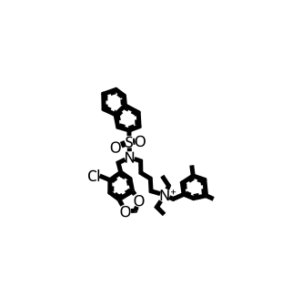 CC[N+](CC)(CCCCN(Cc1cc2c(cc1Cl)OCO2)S(=O)(=O)c1ccc2ccccc2c1)Cc1cc(C)cc(C)c1